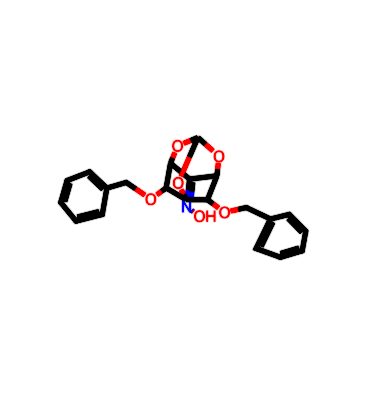 ON=C1C2OC3OC1C(OCc1ccccc1)C(O3)C2OCc1ccccc1